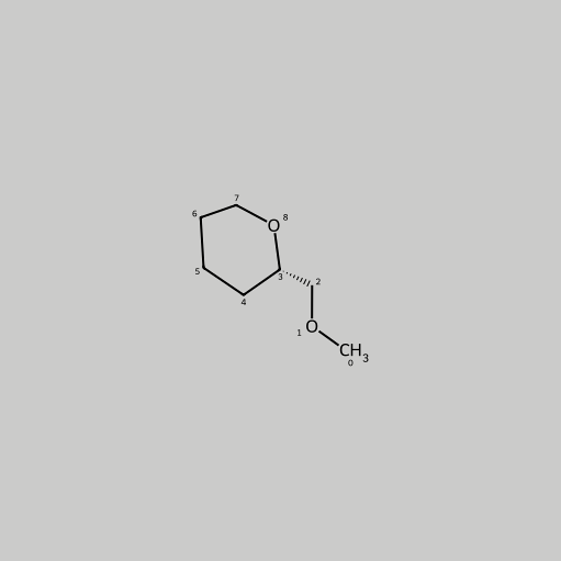 COC[C@@H]1CCCCO1